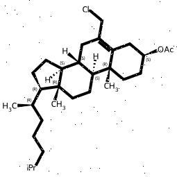 CC(=O)O[C@H]1CC[C@@]2(C)C(=C(CCl)C[C@H]3[C@@H]4CC[C@H]([C@H](C)CCCC(C)C)[C@@]4(C)CC[C@@H]32)C1